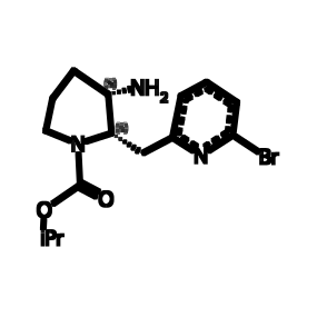 CC(C)OC(=O)N1CCC[C@H](N)[C@@H]1Cc1cccc(Br)n1